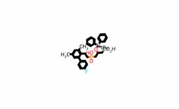 Cc1cc(C)c(CCP(=O)(O)CC(CC(=O)O)O[Si](c2ccccc2)(c2ccccc2)C(C)(C)C)c(-c2ccc(F)cc2)c1